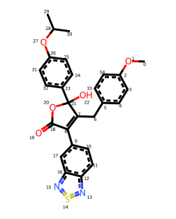 COc1ccc(CC2=C(c3ccc4nsnc4c3)C(=O)OC2(O)c2ccc(OC(C)C)cc2)cc1